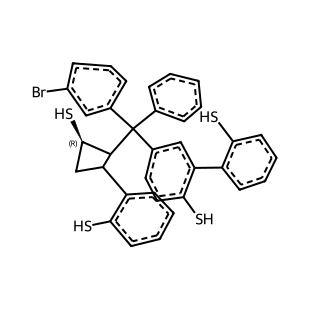 Sc1ccccc1-c1cc(C(c2ccccc2)(c2cccc(Br)c2)C2C(c3ccccc3S)C[C@H]2S)ccc1S